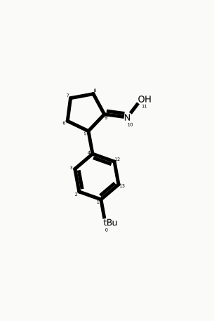 CC(C)(C)c1ccc(C2CCCC2=NO)cc1